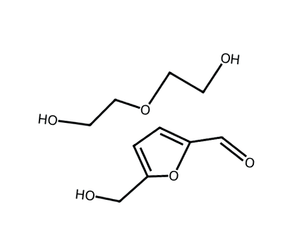 O=Cc1ccc(CO)o1.OCCOCCO